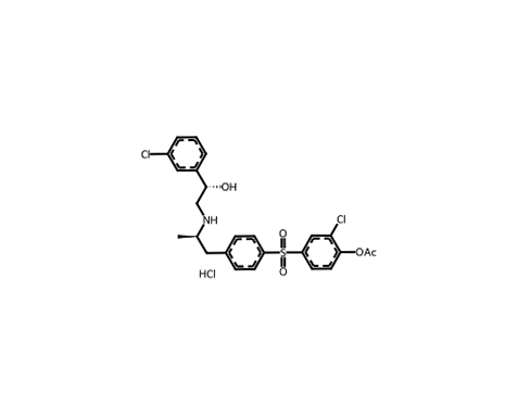 CC(=O)Oc1ccc(S(=O)(=O)c2ccc(C[C@@H](C)NC[C@@H](O)c3cccc(Cl)c3)cc2)cc1Cl.Cl